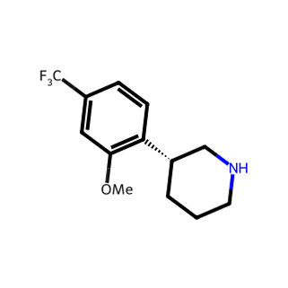 COc1cc(C(F)(F)F)ccc1[C@H]1CCCNC1